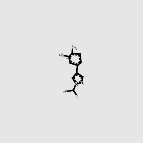 Cc1ccc(-c2cnn(C(F)F)c2)cc1O